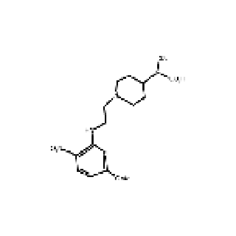 COc1ccc([N+](=O)[O-])c(NCCN2CCC(N(C(=O)O)C(C)(C)C)CC2)n1